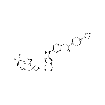 N#CCC1(n2cc(C(F)(F)F)cn2)CN(c2cccn3nc(Nc4ccc(CC(=O)N5CCN(C6COC6)CC5)cc4)nc23)C1